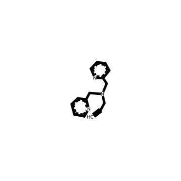 C#CCN(Cc1ccccn1)Cc1ccccn1